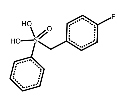 O=S(O)(O)(Cc1ccc(F)cc1)c1ccccc1